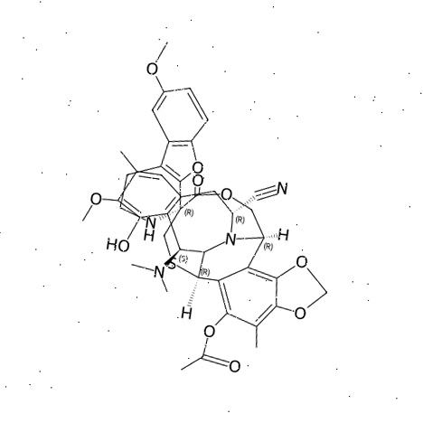 COc1ccc2oc3c(c2c1)CCN[C@]31CS[C@@H]2c3c(OC(C)=O)c(C)c4c(c3[C@H](COC1=O)N1C2[C@@H](N(C)C)c2c(cc(C)c(OC)c2O)C[C@@H]1C#N)OCO4